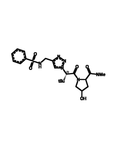 CNC(=O)C1CC(O)CN1C(=O)[C@@H](n1cc(CNS(=O)(=O)c2ccccc2)nn1)C(C)(C)C